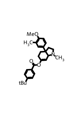 COc1ccc(C23CCC(OC(=O)c4ccc(C(C)(C)C)cc4)=CC2N(C)CC3)cc1C